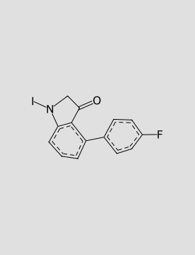 O=C1CN(I)c2cccc(-c3ccc(F)cc3)c21